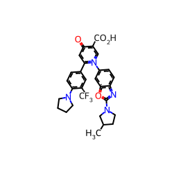 CC1CCN(c2nc3ccc(-n4cc(C(=O)O)c(=O)cc4-c4ccc(N5CCCC5)c(C(F)(F)F)c4)cc3o2)C1